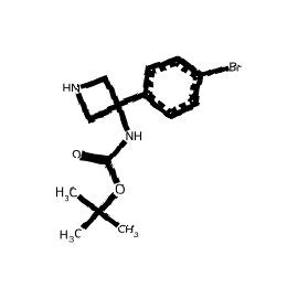 CC(C)(C)OC(=O)NC1(c2ccc(Br)cc2)CNC1